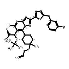 C=CCOC1(C)CCN(c2c(C(OC(C)(C)C)C(=O)O)c(C)nc3cc(-c4ncc(Cc5cccc(Br)c5)s4)nn23)CC1